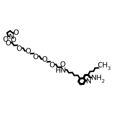 CCCCCc1cc2c(CCCCCNC(=O)CCOCCOCCOCCOCCOCCC(=O)ON3C(=O)CCC3=O)cccc2nc1N